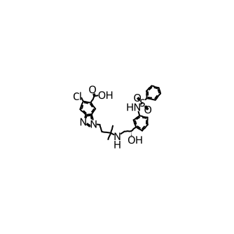 CC(C)(CCn1cnc2cc(Cl)c(C(=O)O)cc21)NC[C@@H](O)c1cccc(NS(=O)(=O)c2ccccc2)c1